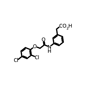 O=C(O)Cc1cccc(NC(=O)COc2ccc(Cl)cc2Cl)c1